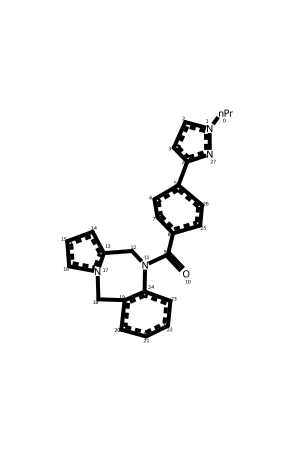 CCCn1ccc(-c2ccc(C(=O)N3Cc4cccn4Cc4ccccc43)cc2)n1